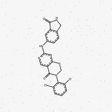 O=C1NCc2ccc(Nc3ncc4c(n3)OCN(c3c(Cl)cccc3Cl)C4=O)cc21